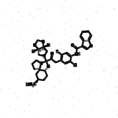 CCOC(=O)[C@H]1CC[C@H](OC(C(=O)Cc2cc(Cl)c(NC(=O)c3coc4ccccc34)cc2F)(N2CCCC2)N2C[C@@H]3OCO[C@@H]3C2)CC1